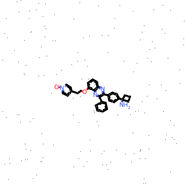 NC1(c2ccc(-c3nc4cccc(OCCc5cc[n+]([O-])cc5)c4nc3-c3ccccc3)cc2)CCC1